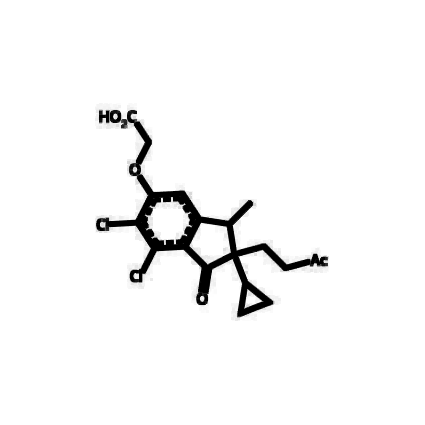 CC(=O)CCC1(C2CC2)C(=O)c2c(cc(OCC(=O)O)c(Cl)c2Cl)C1C